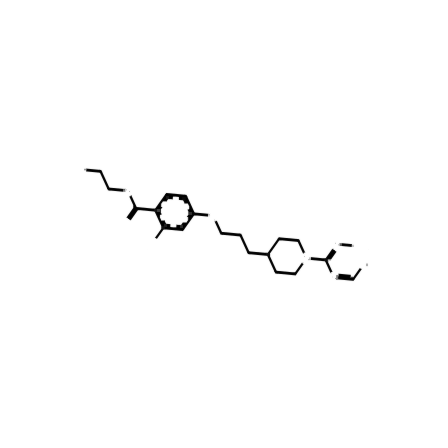 CCC/C=N\C(=N/C)N1CCC(CCCOc2ccc(C(=O)NCCO)c(C)c2)CC1